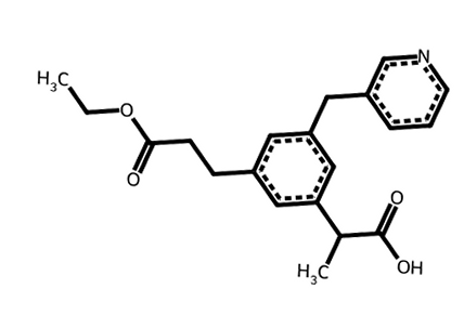 CCOC(=O)CCc1cc(Cc2cccnc2)cc(C(C)C(=O)O)c1